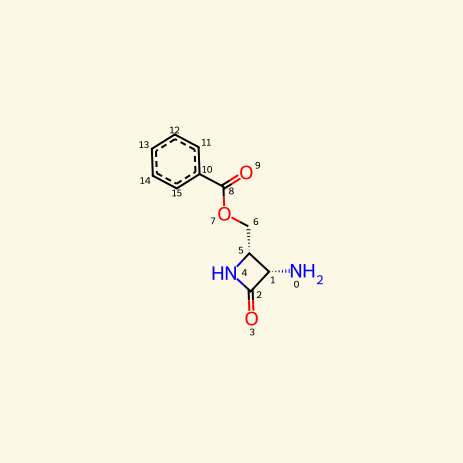 N[C@@H]1C(=O)N[C@@H]1COC(=O)c1ccccc1